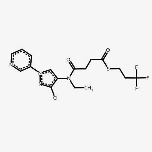 CCN(C(=O)CCC(=O)SCCC(F)(F)F)c1cn(-c2cccnc2)nc1Cl